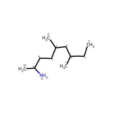 CCC(C)CC(C)CCC(C)N